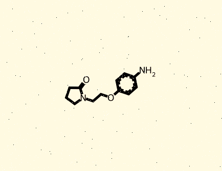 Nc1ccc(OCCN2CCCC2=O)cc1